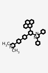 Cc1cc(-c2ccc(-c3ccc(-c4cc(-c5nc(-c6ccccc6)cc(-c6ccccc6)n5)cc(-c5cc6cccc7ccc8cccc5c8c76)c4)cc3)cc2)cc(C)n1